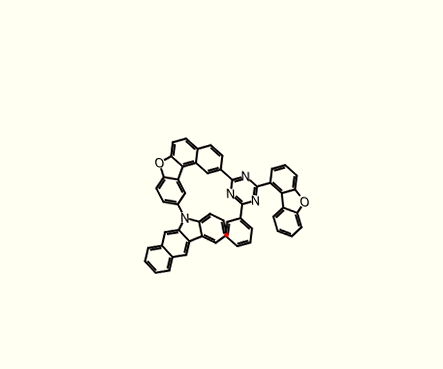 c1ccc(-c2nc(-c3ccc4ccc5oc6ccc(-n7c8ccccc8c8cc9ccccc9cc87)cc6c5c4c3)nc(-c3cccc4oc5ccccc5c34)n2)cc1